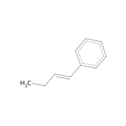 [CH2]C/C=C/c1ccccc1